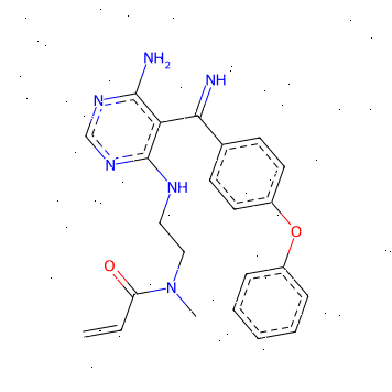 C=CC(=O)N(C)CCNc1ncnc(N)c1C(=N)c1ccc(Oc2ccccc2)cc1